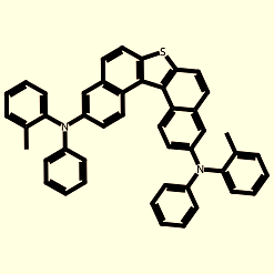 Cc1ccccc1N(c1ccccc1)c1ccc2c(ccc3sc4ccc5cc(N(c6ccccc6)c6ccccc6C)ccc5c4c32)c1